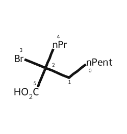 CCCCCCC(Br)(CCC)C(=O)O